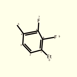 CCc1ccc(C)c(F)c1F